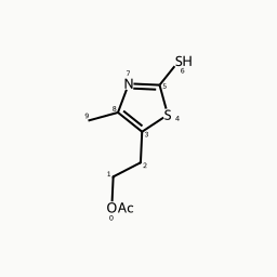 CC(=O)OCCc1sc(S)nc1C